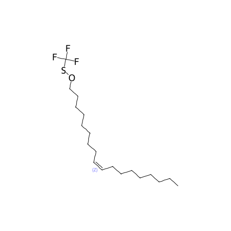 CCCCCCCC/C=C\CCCCCCCCOSC(F)(F)F